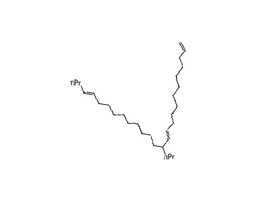 C=CCCCCCCCCC=CC(CCC)CCCCCCCCCC=CCCC